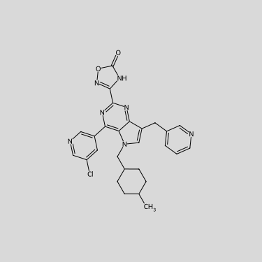 CC1CCC(Cn2cc(Cc3cccnc3)c3nc(-c4noc(=O)[nH]4)nc(-c4cncc(Cl)c4)c32)CC1